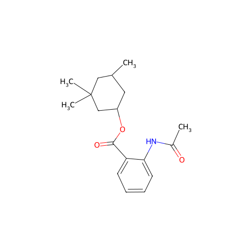 CC(=O)Nc1ccccc1C(=O)OC1CC(C)CC(C)(C)C1